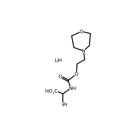 CC(C)C(NC(=O)OCCN1CCOCC1)C(=O)O.[LiH]